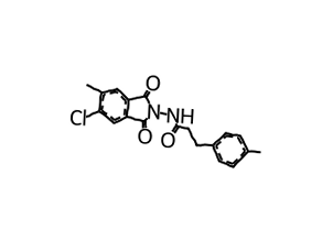 Cc1ccc(CCC(=O)NN2C(=O)c3cc(C)c(Cl)cc3C2=O)cc1